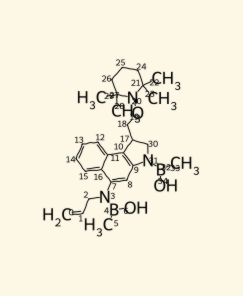 C=CCN(B(C)O)c1cc2c(c3ccccc13)C(CON1C(C)(C)CCCC1(C)C)CN2B(C)O